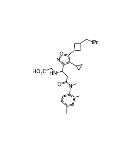 Cc1ccc(N(C)C(=O)CC(NCC(=O)O)c2noc(C3CC(CC(C)C)C3)c2C2CC2)c(C)c1